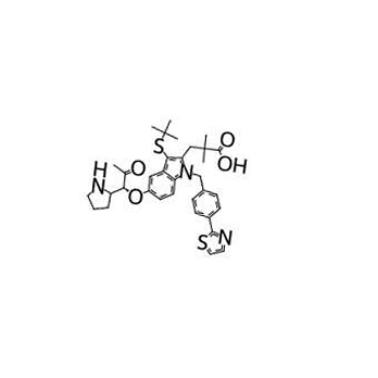 CC(=O)[C@@H](Oc1ccc2c(c1)c(SC(C)(C)C)c(CC(C)(C)C(=O)O)n2Cc1ccc(-c2nccs2)cc1)C1CCCN1